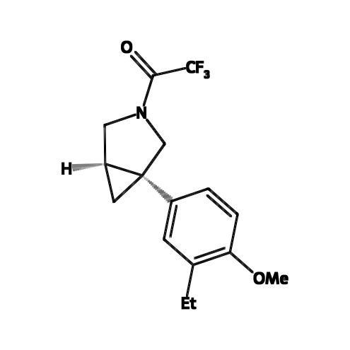 CCc1cc([C@]23C[C@H]2CN(C(=O)C(F)(F)F)C3)ccc1OC